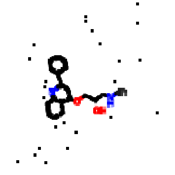 CC(C)NC[C@H](O)COc1cc(-c2ccccc2)nc2ccccc12